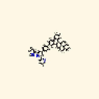 c1ccc(-c2cc(-c3ccc(-c4ccc(-c5ccccc5-c5ccc6ccc7cccc8ccc5c6c78)cc4)cc3)cc(-c3ccccn3)n2)nc1